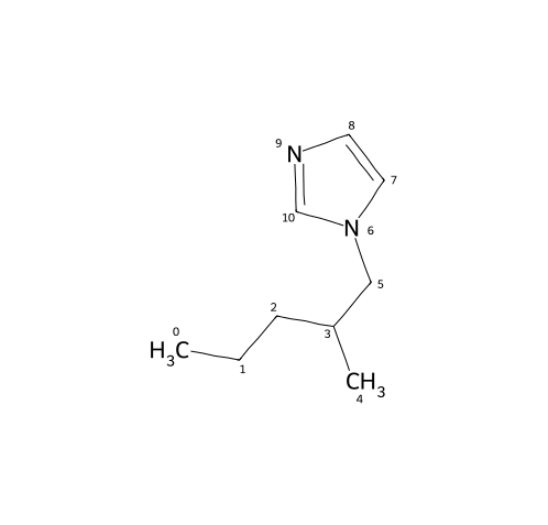 CCCC(C)Cn1ccnc1